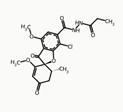 CCC(=O)NNC(=O)c1cc(OC)c2c(c1Cl)O[C@]1(C2=O)C(OC)=CC(=O)C[C@H]1C